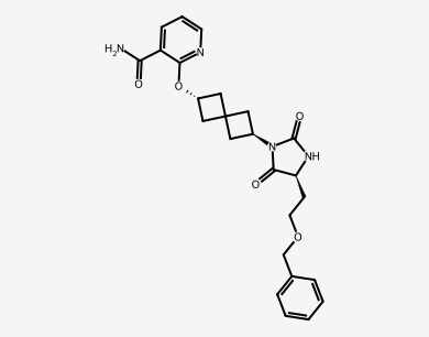 NC(=O)c1cccnc1O[C@H]1CC2(C1)C[C@H](N1C(=O)N[C@@H](CCOCc3ccccc3)C1=O)C2